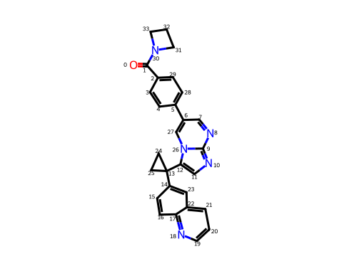 O=C(c1ccc(-c2cnc3ncc(C4(c5ccc6ncccc6c5)CC4)n3c2)cc1)N1CCC1